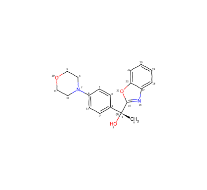 C[C@@](O)(c1ccc(N2CCOCC2)cc1)c1nc2ccccc2o1